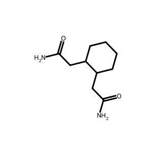 NC(=O)CC1CCCCC1CC(N)=O